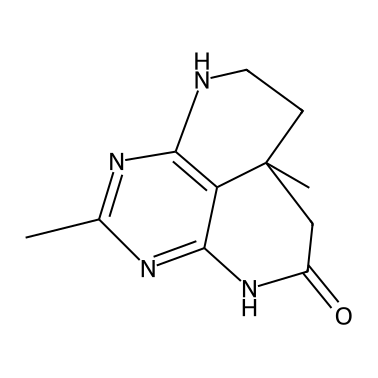 Cc1nc2c3c(n1)NC(=O)CC3(C)CCN2